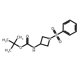 CC(C)(C)OC(=O)NC1CN(S(=O)(=O)c2ccccc2)C1